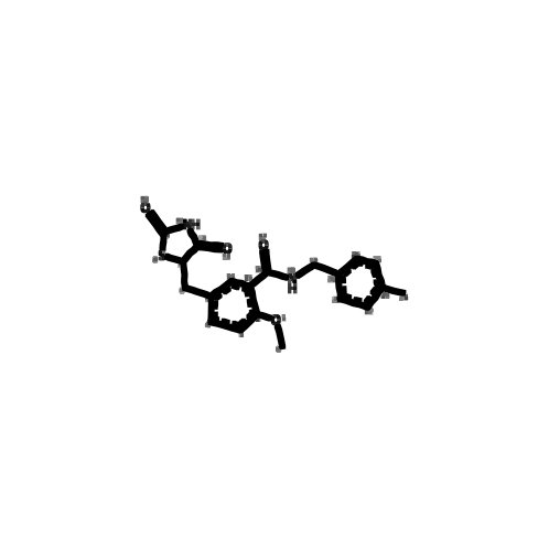 COc1ccc(CC2SC(=O)NC2=O)cc1C(=O)NCc1ccc(C)cc1